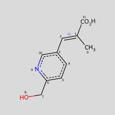 C/C(=C\c1ccc(CO)nc1)C(=O)O